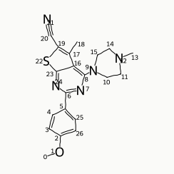 COc1ccc(-c2nc(N3CCN(C)CC3)c3c(C)c(C#N)sc3n2)cc1